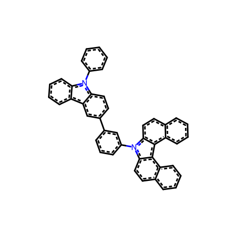 c1ccc(-n2c3ccccc3c3cc(-c4cccc(-n5c6ccc7ccccc7c6c6c7ccccc7ccc65)c4)ccc32)cc1